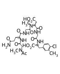 CC(=O)N(C)CC(=O)N[C@@H](CCC(N)=O)C(=O)NCC(=O)N(C)[C@@H](CC(=O)O)C(=O)NCC(=O)N[C@@H](Cc1ccc(Cl)c(C)c1)C(=O)O